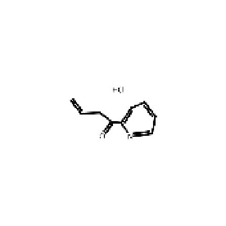 C=CCC(=O)c1ccccn1.Cl